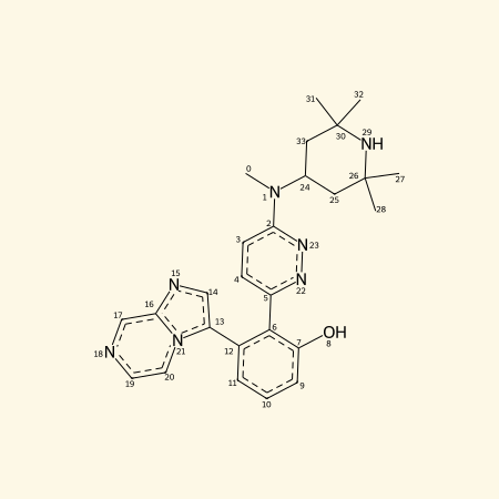 CN(c1ccc(-c2c(O)cccc2-c2cnc3cnccn23)nn1)C1CC(C)(C)NC(C)(C)C1